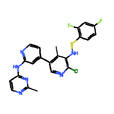 Cc1nccc(Nc2cc(-c3cnc(Cl)c(NSc4ccc(F)cc4F)c3C)ccn2)n1